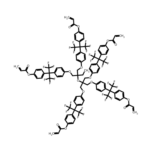 C=CC(=O)Oc1ccc(C(c2ccc(OCC(CC)(COc3ccc(C(c4ccc(OC(=O)C=C)cc4)(C(F)(F)F)C(F)(F)F)cc3)OC(COc3ccc(C(c4ccc(OC(=O)C=C)cc4)(C(F)(F)F)C(F)(F)F)cc3)(COc3ccc(C(c4ccc(OC(=O)C=C)cc4)(C(F)(F)F)C(F)(F)F)cc3)COc3ccc(C(c4ccc(OC(=O)C=C)cc4)(C(F)(F)F)C(F)(F)F)cc3)cc2)(C(F)(F)F)C(F)(F)F)cc1